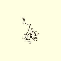 C=CC[C]12[CH]3[CH]4[CH]5[CH]1[Fe]45321678[CH]2[CH]1[CH]6[CH]7[CH]28